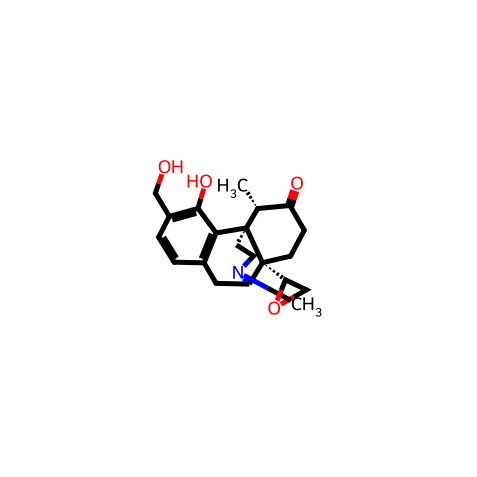 C[C@@H]1C(=O)CC[C@@]2(C3CO3)C3Cc4ccc(CO)c(O)c4[C@@]12CCN3C